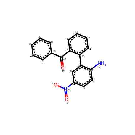 Nc1ccc([N+](=O)[O-])cc1-c1ccccc1C(=O)c1ccccc1